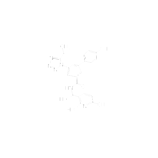 CCc1nnnn1-c1cc(C(=O)NC(C)c2ccc(C)nc2C)cc(-c2ccc(C)cc2)c1